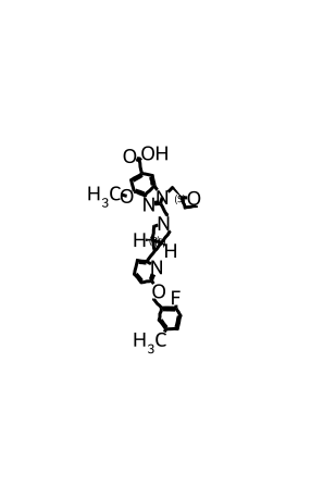 COc1cc(C(=O)O)cc2c1nc(CN1C[C@@H]3C(c4cccc(OCc5cc(C)ccc5F)n4)[C@@H]3C1)n2C[C@@H]1CCO1